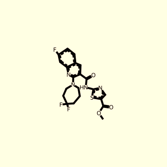 COC(=O)c1cnc(NC(=O)c2cc3ccc(F)cc3nc2N2CCCC(F)(F)CC2)s1